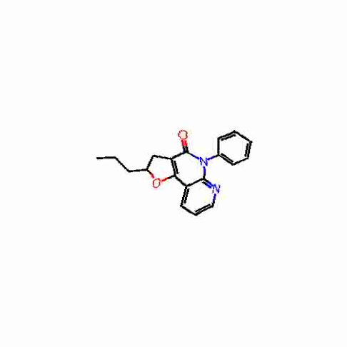 CCCC1Cc2c(c3cccnc3n(-c3ccccc3)c2=O)O1